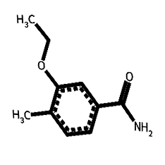 CCOc1cc(C(N)=O)ccc1C